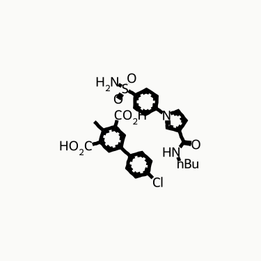 CCCCNC(=O)c1ccn(-c2ccc(S(N)(=O)=O)cc2)c1.Cc1c(C(=O)O)cc(-c2ccc(Cl)cc2)cc1C(=O)O